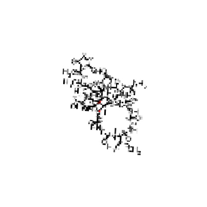 CCC(C)C1NC(=O)CNC(=O)C2Cc3c([nH]c4cc(OCC(C)CC(C)N5C(=O)C=CC5=O)ccc34)[S+]([O-])CC(NC(=O)CNC1=O)C(=O)NC(CC(N)=O)C(=O)N1CC(O)CC1C(=O)NC(C(C)C(O)CO)C(=O)N2